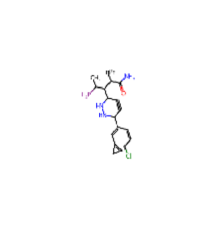 CCCC(C(N)=O)C(C(C)P)C1C#CC(C(/C=C\CCl)=C/C2=CC2)NN1